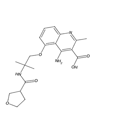 Cc1nc2cccc(OCC(C)(C)NC(=O)C3CCOC3)c2c(N)c1C(=O)O